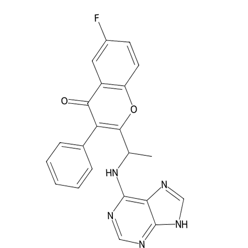 CC(Nc1ncnc2[nH]cnc12)c1oc2ccc(F)cc2c(=O)c1-c1ccccc1